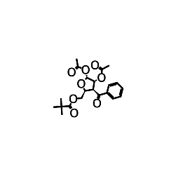 CC(=O)O[C@H]1O[C@H](COC(=O)C(C)(C)C)[C@H](C(=O)c2ccccc2)[C@H]1OC(C)=O